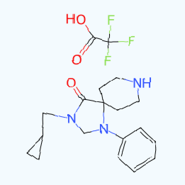 O=C(O)C(F)(F)F.O=C1N(CC2CC2)CN(c2ccccc2)C12CCNCC2